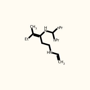 C=CNCC/C(NC(CCC)CCC)=C(/C)CC